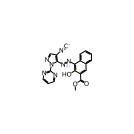 [C-]#[N+]c1cnn(-c2ncccn2)c1/N=N/c1c(O)c(C(=O)OC)cc2ccccc12